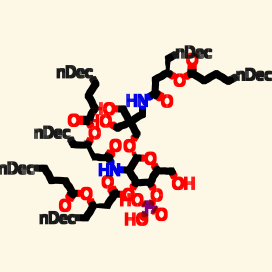 CCCCCCCCCCCCCC(=O)O[C@H](CCCCCCCCCCC)CC(=O)NCC(CO)(CO)CO[C@@H]1OC(CO)C(OP(=O)(O)O)C(OC(=O)C[C@@H](CCCCCCCCCCC)OC(=O)CCCCCCCCCCCCC)C1NC(=O)C[C@@H](CCCCCCCCCCC)OC(=O)CCCCCCCCCCCCC